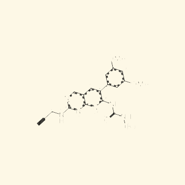 C#CCNc1ncc2cc(-c3cc(OC)cc(OC)c3)c(NC(=O)NC(C)(C)C)nc2n1